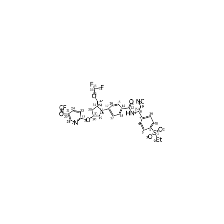 CCS(=O)(=O)c1ccc([C@H](CC#N)NC(=O)c2ccc(N3C[C@@H](Oc4ccc(OC(F)(F)F)cn4)C[C@H]3COC(F)F)cc2)cc1